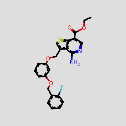 CCOC(=O)c1cnc(N)c2c(COc3cccc(OCc4ccccc4F)c3)csc12